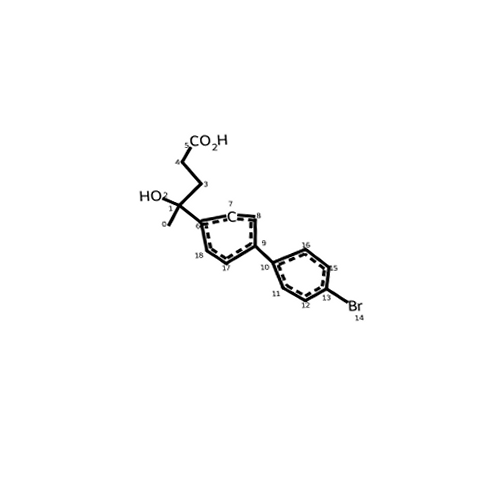 CC(O)(CCC(=O)O)c1ccc(-c2ccc(Br)cc2)cc1